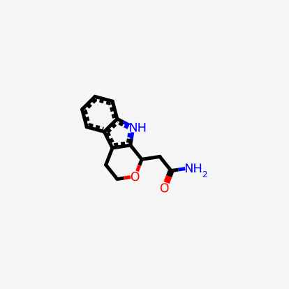 NC(=O)CC1OCCc2c1[nH]c1ccccc21